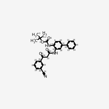 CC(C)(C)OC(=O)Nc1ccc(-c2ccccc2)cc1NC(=O)CC(=O)c1cccc(C#N)c1